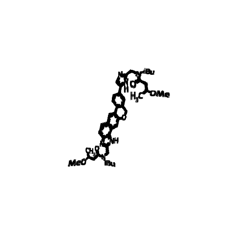 CC[C@H](C)N(Cc1ncc(-c2ccc3c(c2)COc2cc4c(ccc5nc(CN(C(=O)C[C@H](C)OC)[C@@H](C)CC)[nH]c54)cc2-3)[nH]1)C(=O)C[C@H](C)OC